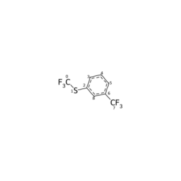 FC(F)(F)Sc1cccc(C(F)(F)F)c1